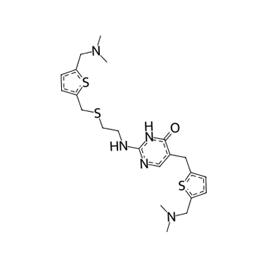 CN(C)Cc1ccc(CSCCNc2ncc(Cc3ccc(CN(C)C)s3)c(=O)[nH]2)s1